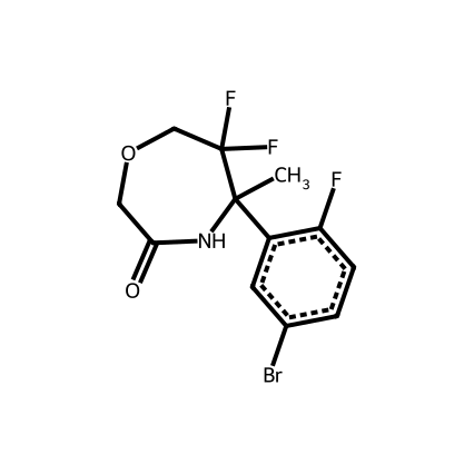 CC1(c2cc(Br)ccc2F)NC(=O)COCC1(F)F